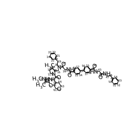 CN[C@@H](C)C(=O)N[C@H](C(=O)N1CC[C@H](C)[C@H]1CN(CCc1ccccc1)C(=O)CNC(=O)c1ccc(-c2ccc(C(=O)NCC(=O)NCCc3ccccc3)cc2)cc1)C1CCOCC1